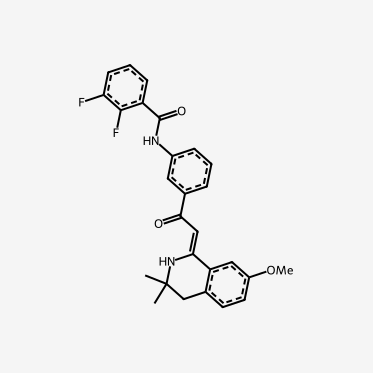 COc1ccc2c(c1)C(=CC(=O)c1cccc(NC(=O)c3cccc(F)c3F)c1)NC(C)(C)C2